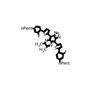 CCCCCc1ccc(-c2ccc(-c3c4nsnc4c(-c4ccc(-c5ccc(CCCCC)cc5F)s4)c4nc(C)c(C)nc34)s2)c(F)c1